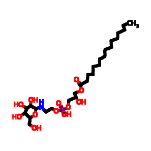 CCCCCCCCCCCCCCCC(=O)OC[C@@H](O)COP(=O)(O)OCCNC1OC(CO)C(O)C(O)C1O